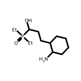 CCP(=O)(CC)C(O)CCC1CCCCC1N